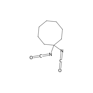 O=C=NC1(N=C=O)CCCCCCC1